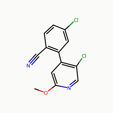 COc1cc(-c2cc(Cl)ccc2C#N)c(Cl)cn1